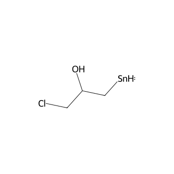 OC(CCl)[CH2][SnH]